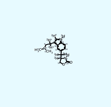 [2H]c1c(C([2H])([2H])CN(C)C)c2cc(C([2H])([2H])[C@@]3([2H])COC(=O)N3[2H])ccc2n1[2H]